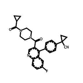 N#CC1(c2ccc(-c3c(C(=O)N4CCN(C(=O)C5CC5)CC4)cnc4ccc(F)cc34)cc2)CC1